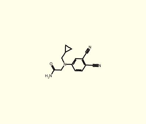 N#Cc1ccc(N(CC(N)=O)CC2CC2)cc1C#N